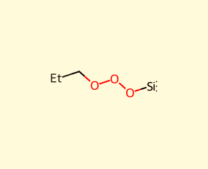 CCCOOO[Si]